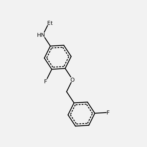 CCNc1ccc(OCc2cccc(F)c2)c(F)c1